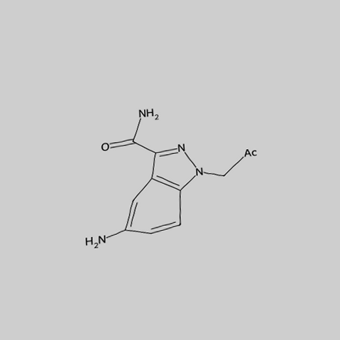 CC(=O)Cn1nc(C(N)=O)c2cc(N)ccc21